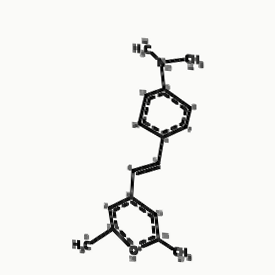 Cc1cc(/C=C/c2ccc(N(C)C)cc2)cc(C)[o+]1